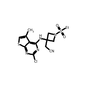 CCS(=O)(=O)N1CC(CC#N)(Nc2nc(Cl)nc3scc(C)c23)C1